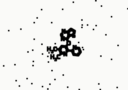 Cc1cc(Oc2ncnc3ccsc23)c(-c2ccccn2)nc1C